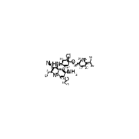 CCOc1cc2nc(CC)c(C#N)c(Nc3ccc(OCc4ccc(C(C)C)nc4)c(Cl)c3)c2cc1N